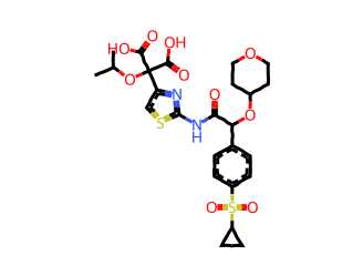 CC(C)OC(C(=O)O)(C(=O)O)c1csc(NC(=O)C(OC2CCOCC2)c2ccc(S(=O)(=O)C3CC3)cc2)n1